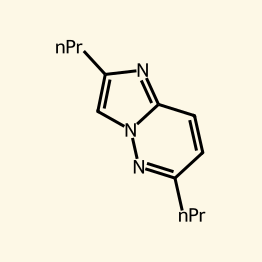 CCCc1cn2nc(CCC)ccc2n1